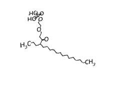 CCCCCCCCCCCCCCC(CCC)C(=O)CCOCCOP(=O)(O)O